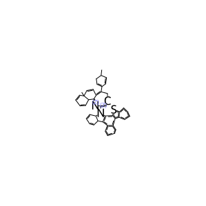 CC1C=CC(C2=C3C=CC4(C)C=CC=CC4/C3=N/C(N3c4c(c5ccccc5c5c4sc4ccccc45)C4C=CC=CC43)=C\CC2)=CC1